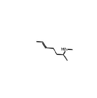 CC=CCCC(C)NC